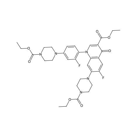 CCOC(=O)c1cn(-c2ccc(N3CCN(C(=O)OCC)CC3)cc2F)c2cc(N3CCN(C(=O)OCC)CC3)c(F)cc2c1=O